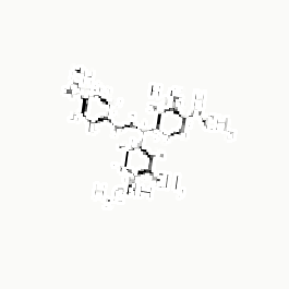 CNc1ccc(C(C=Cc2ccc(OC)cc2)c2ccc(NC)c(C)c2)cc1C